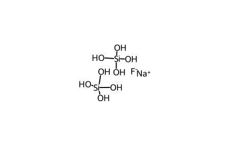 O[Si](O)(O)O.O[Si](O)(O)O.[F-].[Na+]